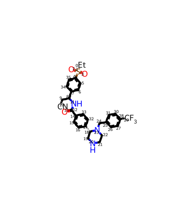 CCS(=O)(=O)c1ccc(C(CC#N)NC(=O)c2ccc([C@H]3CNCCN3Cc3ccc(C(F)(F)F)cc3)cc2)cc1